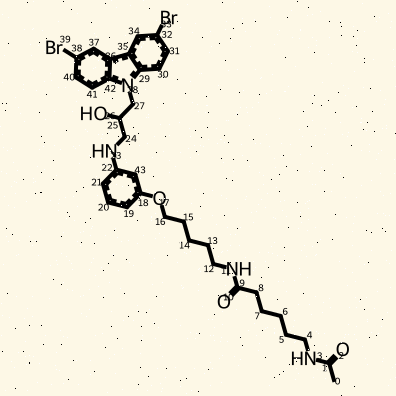 CC(=O)NCCCCCC(=O)NCCCCCOc1cccc(NCC(O)Cn2c3ccc(Br)cc3c3cc(Br)ccc32)c1